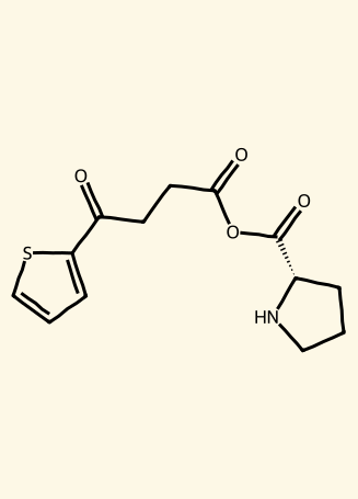 O=C(CCC(=O)c1cccs1)OC(=O)[C@@H]1CCCN1